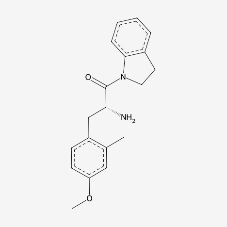 COc1ccc(C[C@@H](N)C(=O)N2CCc3ccccc32)c(C)c1